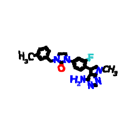 Cc1cccc(CN2CCN(c3ccc(-c4cn(C)c5ncnc(N)c45)c(F)c3)C2=O)c1